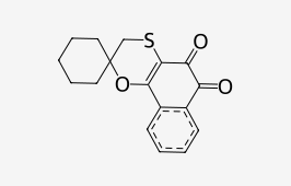 O=C1C(=O)c2ccccc2C2=C1SCC1(CCCCC1)O2